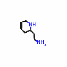 NCCC1CC=CCN1